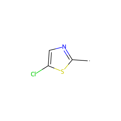 [CH2]c1ncc(Cl)s1